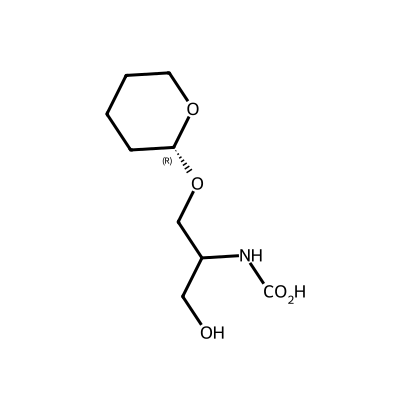 O=C(O)NC(CO)CO[C@@H]1CCCCO1